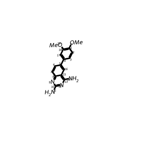 COc1ccc(-c2ccc3nc(N)nc(N)c3c2)cc1OC